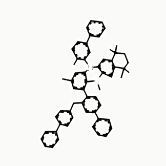 CB1c2cc3c(cc2N(c2cc(-c4ccccc4)ccc2C)c2cc(C)cc(-c4ccc(-c5ccccc5)cc4Cc4ccc(-c5ccccc5)cc4)c21)C(C)(C)CCC3(C)C